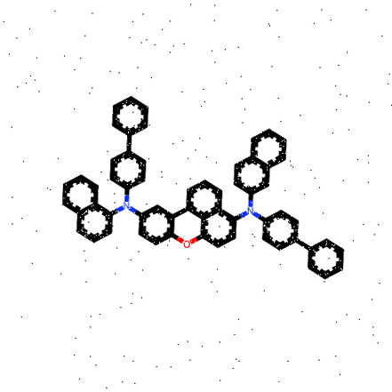 c1ccc(-c2ccc(N(c3ccc4c(c3)-c3cccc5c(N(c6ccc(-c7ccccc7)cc6)c6ccc7ccccc7c6)ccc(c35)O4)c3cccc4ccccc34)cc2)cc1